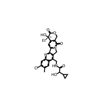 CC[C@@]1(O)C(=O)OCc2c1cc1n(c2=O)Cc2c-1nc1cc(Cl)c(C)cc1c2CNC(=O)C(O)C1CC1